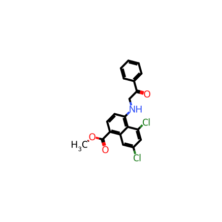 COC(=O)c1ccc(NCC(=O)c2ccccc2)c2c(Cl)cc(Cl)cc12